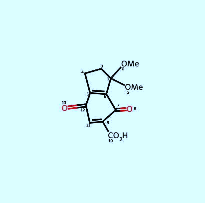 COC1(OC)CCC2=C1C(=O)C(C(=O)O)=CC2=O